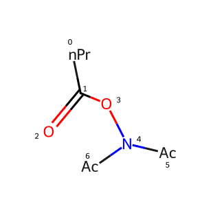 CCCC(=O)ON(C(C)=O)C(C)=O